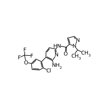 CC(C)n1nccc1C(=O)Nc1ccc(-c2cc(OC(F)(F)F)ccc2Cl)c(N)n1